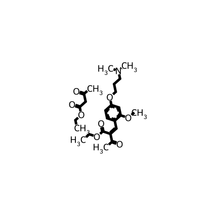 CCOC(=O)/C(=C\c1ccc(OCCCN(C)C)cc1OC)C(C)=O.CCOC(=O)CC(C)=O